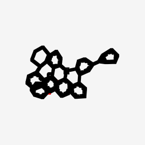 c1ccc(-c2cc(-c3c4cccc3-4)ccc2N(c2ccccc2-c2cccc3cccc(C4CCCCC4)c23)c2cccc3c2oc2ccccc23)cc1